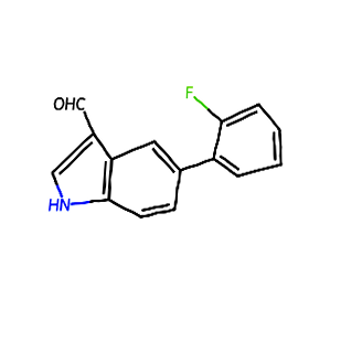 O=Cc1c[nH]c2ccc(-c3ccccc3F)cc12